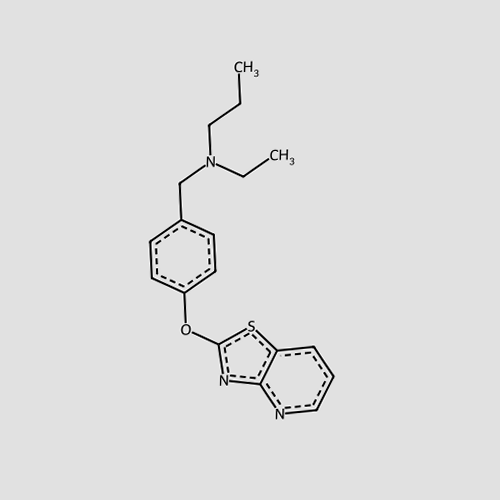 CCCN(CC)Cc1ccc(Oc2nc3ncccc3s2)cc1